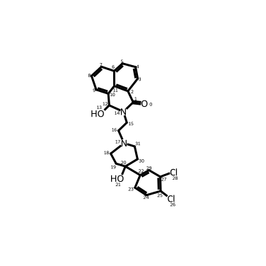 O=C1c2cccc3cccc(c23)C(O)N1CCN1CCC(O)(c2ccc(Cl)c(Cl)c2)CC1